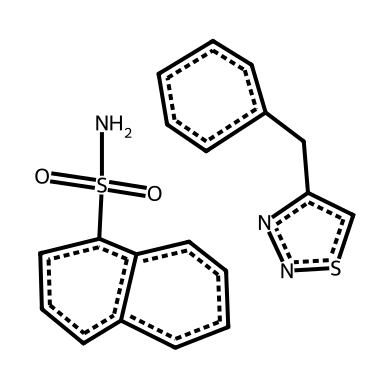 NS(=O)(=O)c1cccc2ccccc12.c1ccc(Cc2csnn2)cc1